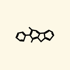 Cc1cc2c(c(C)c1-c1ccccc1)Cc1ccccc1-2